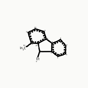 CCC1c2ccccc2-c2cccc(C)c21